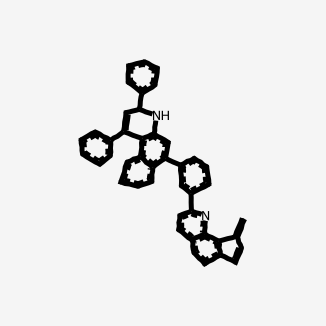 C=C1C=Cc2ccc3ccc(-c4cccc(-c5cc6c(c7ccccc57)C(c5ccccc5)=CC(c5ccccc5)N6)c4)nc3c21